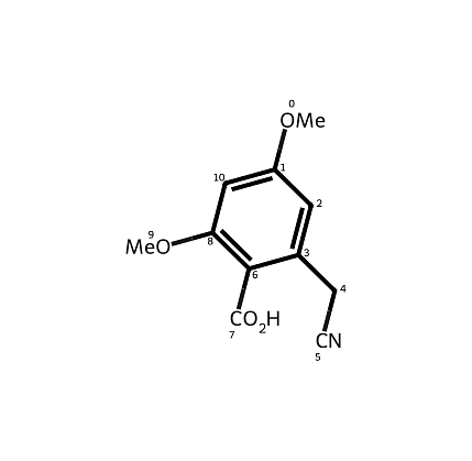 COc1cc(CC#N)c(C(=O)O)c(OC)c1